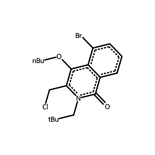 CCCCOc1c(CCl)n(CC(C)(C)C)c(=O)c2cccc(Br)c12